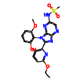 CCOC1=NC(c2nc3ncc(NS(C)(=O)=O)nc3n2-c2c(O)cccc2OC)=C=C=C1